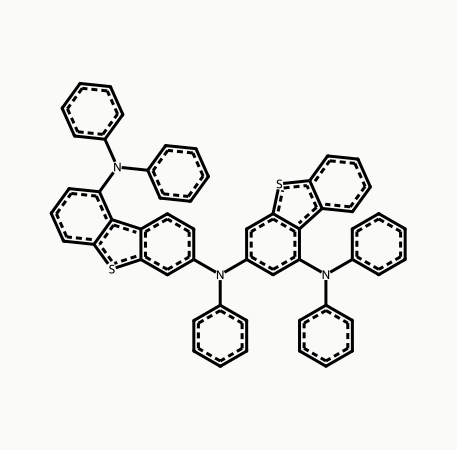 c1ccc(N(c2ccc3c(c2)sc2cccc(N(c4ccccc4)c4ccccc4)c23)c2cc(N(c3ccccc3)c3ccccc3)c3c(c2)sc2ccccc23)cc1